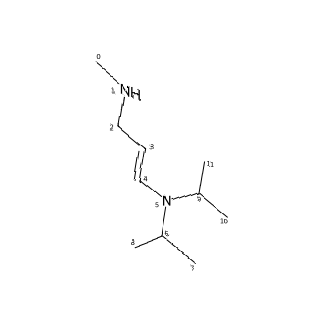 CNCC=CN(C(C)C)C(C)C